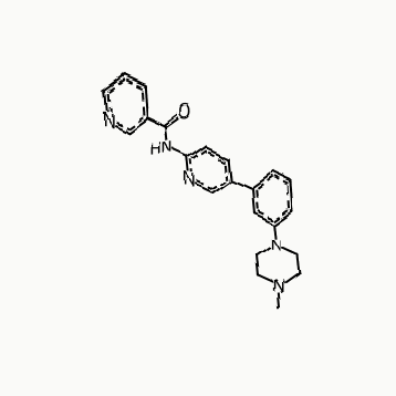 CN1CCN(c2cccc(-c3ccc(NC(=O)c4cccnc4)nc3)c2)CC1